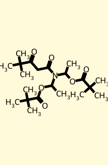 CC(OC(=O)C(C)(C)C)N(C(=O)CC(=O)C(C)(C)C)C(C)OC(=O)C(C)(C)C